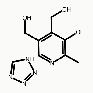 Cc1ncc(CO)c(CO)c1O.c1nnn[nH]1